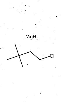 CC(C)(C)CCCl.[MgH2]